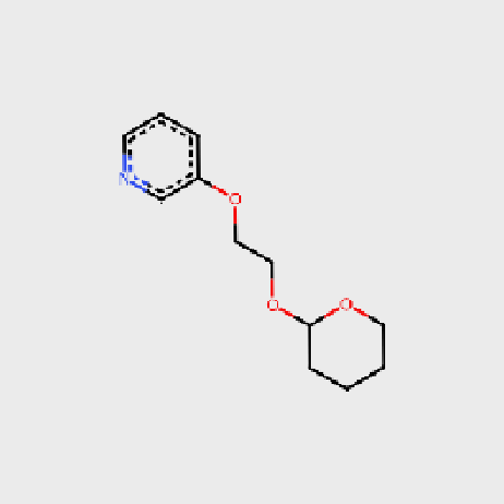 [c]1ncccc1OCCOC1CCCCO1